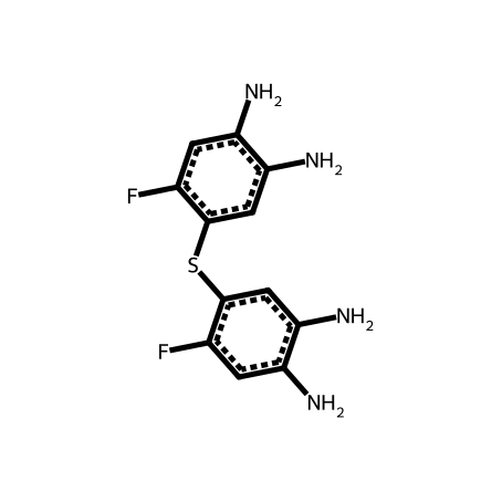 Nc1cc(F)c(Sc2cc(N)c(N)cc2F)cc1N